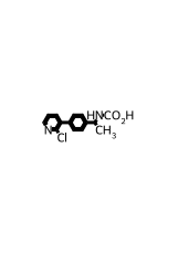 CC(NC(=O)O)c1ccc(-c2cccnc2Cl)cc1